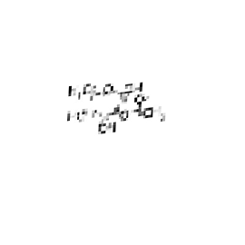 CC(=O)O[C@H]1[C@H](O)[C@H](O)[C@H](C)O[C@H]1O